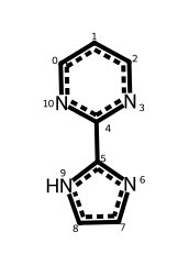 [c]1ccnc(-c2ncc[nH]2)n1